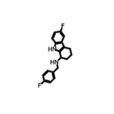 Fc1ccc(CNC2CCCc3c2[nH]c2ccc(F)cc32)cc1